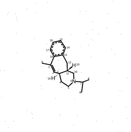 CC1=C[C@@H]2CCN(C(C)C)C[C@H]2Cc2ccccc21